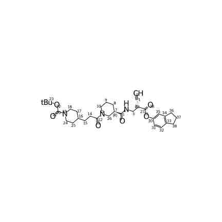 C#C[C@@H](CNC(=O)[C@@H]1CCCN(C(=O)CCC2CCN(C(=O)OC(C)(C)C)CC2)C1)C(=O)Oc1ccc2c(c1)CCC2